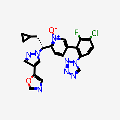 [O-][n+]1cc(-c2c(-n3cnnn3)ccc(Cl)c2F)ccc1[C@@H](CC1CC1)n1cc(-c2cnco2)cn1